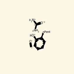 C=O.CCCCCc1ccccc1O.NC(N)=O